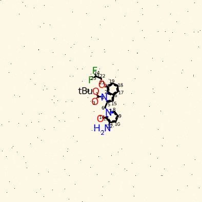 CC(C)(C)OC(=O)n1c(Cn2cccc(N)c2=O)cc2cccc(OCC(F)F)c21